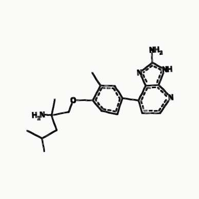 Cc1cc(-c2ccnc3[nH]c(N)nc23)ccc1OCC(C)(N)CC(C)C